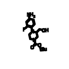 CC(C)(C)OC(=O)N1CCN(c2ccc(N)cc2F)C(CO)C1